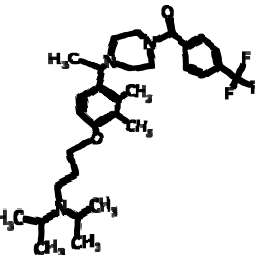 Cc1c(OCCCN(C(C)C)C(C)C)ccc(C(C)N2CCN(C(=O)c3ccc(C(F)(F)F)cc3)CC2)c1C